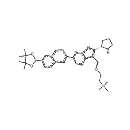 CC1(C)OB(c2ccc3cc(-c4cnc5c(n4)nc([C@@H]4CCCN4)n5COCC[Si](C)(C)C)ccc3c2)OC1(C)C